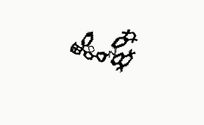 CC1(C)CCC(C)(C)c2cc(N(c3ccc(-c4cccc5c4Oc4ccccc4C54C5CC6CC7CC4C75C6)cc3)c3ccc4c(c3)C(C)(C)CCC4(C)C)ccc21